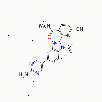 C=C(C)n1c(-c2nc(C#N)ccc2C(=O)NC)nc2cc(-c3cnc(N)nc3)ccc21